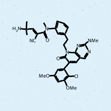 CNc1ncc2cc(-c3cc(OC)cc(OC)c3Cl)c(=O)n(CCc3cccc(N(C)C(=O)C(C#N)=CC(C)(C)N)c3)c2n1